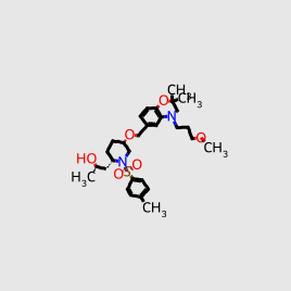 COCCCN1CC(C)(C)Oc2ccc(CO[C@@H]3CC[C@@H](C[C@H](C)O)N(S(=O)(=O)c4ccc(C)cc4)C3)cc21